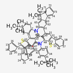 CC(C)(C)c1ccc(N2B3c4cc5sc(-c6ccccc6)c(-c6ccccc6)c5cc4N(c4ccc(C(C)(C)C)cc4-c4ccccc4)c4c3c(cc3c4sc4ccccc43)-c3cc4c(cc32)C(C)(C)c2ccccc2-4)cc1